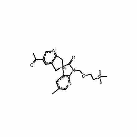 CC(=O)c1cnc2c(c1)C[C@@]1(C2)C(=O)N(COCC[Si](C)(C)C)c2ncc(C)cc21